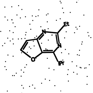 CCc1nc(C(C)C)c2occc2n1